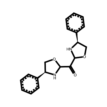 O=C(C1N[C@@H](c2ccccc2)CO1)C1N[C@@H](c2ccccc2)CO1